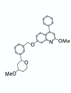 COc1cc(-c2ccccc2)c2ccc(OCc3cccc(C4CC(OC)CCO4)c3)cc2n1